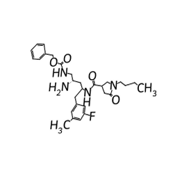 CCCCN1CC(C(=O)NC(Cc2cc(C)cc(F)c2)C[C@H](N)CNC(=O)OCc2ccccc2)CC1=O